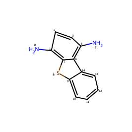 Nc1ccc(N)c2c1sc1ccccc12